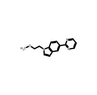 COCCn1ccc2cc(-c3ncccn3)ccc21